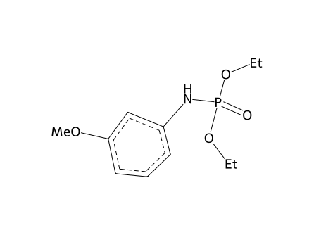 CCOP(=O)(Nc1cccc(OC)c1)OCC